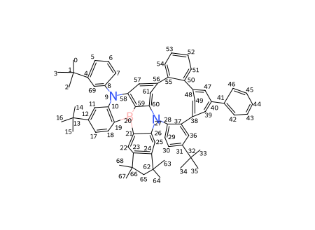 CC(C)(C)c1cccc(N2c3cc(C(C)(C)C)ccc3B3c4cc5c(cc4N4c6ccc(C(C)(C)C)cc6-c6cc(-c7ccccc7)cc(c6)-c6ccccc6-c6cc2c3c4c6)C(C)(C)CC5(C)C)c1